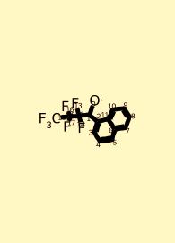 [O]C(c1cccc2ccccc12)C(F)(F)C(F)(F)C(F)(F)F